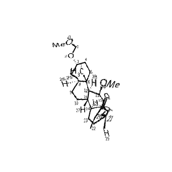 COCO[C@@H]1CC[C@@]2(C)[C@@H](CC[C@@H]3[C@@H]2[C@@H](OC)C[C@]24C(=O)OC[C@H]2CC[C@@H]34)C1